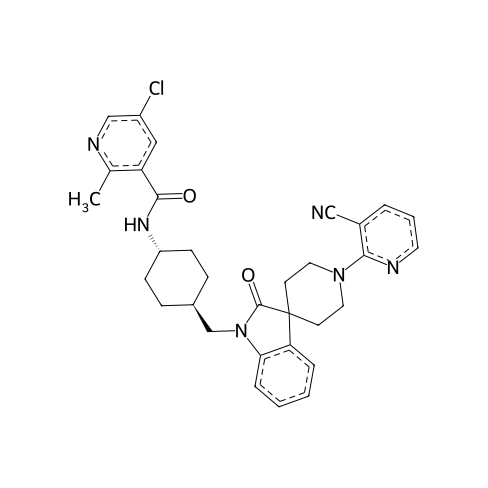 Cc1ncc(Cl)cc1C(=O)N[C@H]1CC[C@H](CN2C(=O)C3(CCN(c4ncccc4C#N)CC3)c3ccccc32)CC1